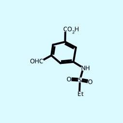 CCS(=O)(=O)Nc1cc(C=O)cc(C(=O)O)c1